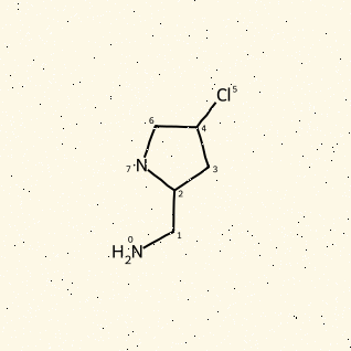 NCC1CC(Cl)C[N]1